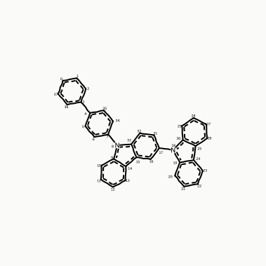 c1ccc(-c2ccc(-n3c4ccccc4c4cc(-n5c6ccccc6c6ccccc65)ccc43)cc2)cc1